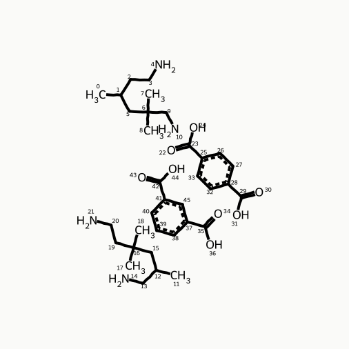 CC(CCN)CC(C)(C)CN.CC(CN)CC(C)(C)CCN.O=C(O)c1ccc(C(=O)O)cc1.O=C(O)c1cccc(C(=O)O)c1